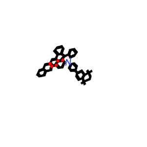 CC1(C)CCC(C)(C)c2cc(-c3ccc(N(c4ccc(-c5ccc6ccccc6c5)cc4)c4ccccc4-c4cc5ccccc5c5ccccc45)cc3)ccc21